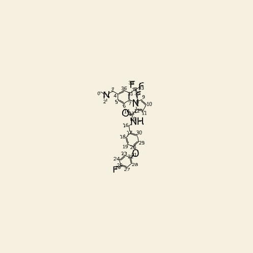 CN(C)Cc1ccc(-n2cccc2C(=O)NCc2ccc(Oc3ccc(F)cc3)cc2)c(C(F)(F)F)c1